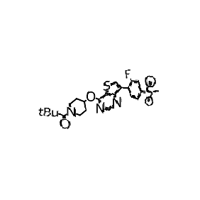 CC(C)(C)C(=O)N1CCC(Oc2ncnc3c(-c4ccc(S(C)(=O)=O)cc4F)csc23)CC1